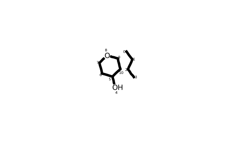 CCCC.OC1CCOCC1